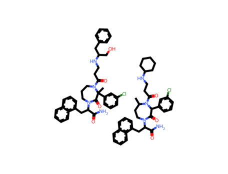 CC1(c2cccc(Cl)c2)C(=O)N(C(Cc2cccc3ccccc23)C(N)=O)CCCN1C(=O)CCNC(CO)Cc1ccccc1.CC1CCN(C(Cc2cccc3ccccc23)C(N)=O)C(=O)C(c2cccc(Cl)c2)N1C(=O)CCNC1CCCCC1